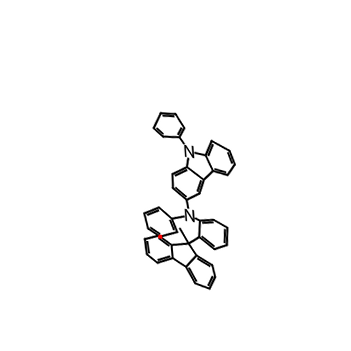 CC1(c2ccccc2N(c2ccccc2)c2ccc3c(c2)c2ccccc2n3-c2ccccc2)c2ccccc2-c2ccccc21